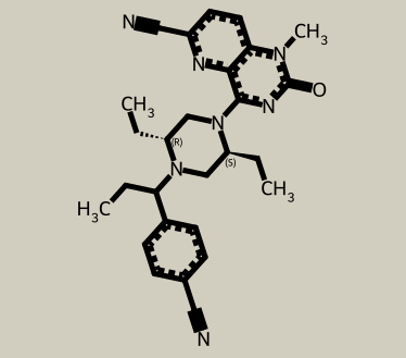 CCC(c1ccc(C#N)cc1)N1C[C@H](CC)N(c2nc(=O)n(C)c3ccc(C#N)nc23)C[C@H]1CC